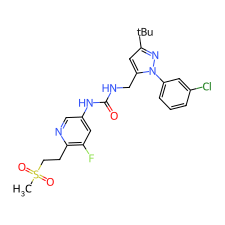 CC(C)(C)c1cc(CNC(=O)Nc2cnc(CCS(C)(=O)=O)c(F)c2)n(-c2cccc(Cl)c2)n1